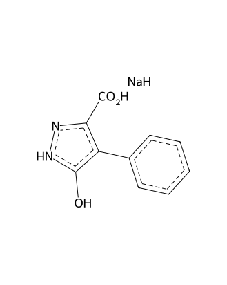 O=C(O)c1n[nH]c(O)c1-c1ccccc1.[NaH]